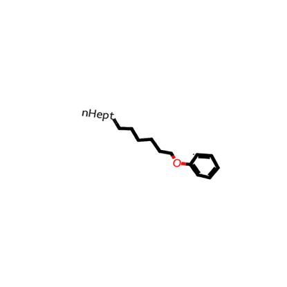 CCCCCCCCCCCCCOc1[c]cccc1